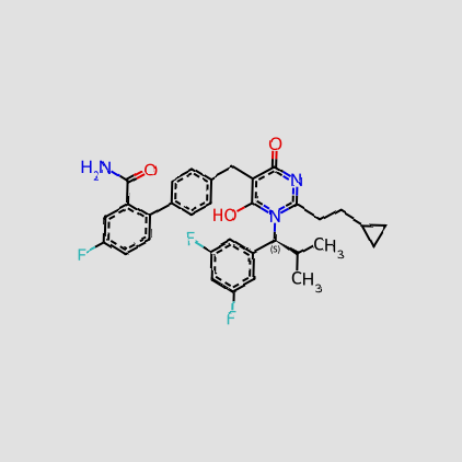 CC(C)[C@@H](c1cc(F)cc(F)c1)n1c(CCC2CC2)nc(=O)c(Cc2ccc(-c3ccc(F)cc3C(N)=O)cc2)c1O